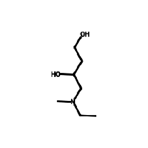 CCN(C)CC(O)CCO